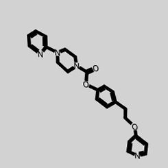 O=C(Oc1ccc(CCOc2ccncc2)cc1)N1CCN(c2ccccn2)CC1